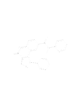 CN(C(=O)c1ccc2[nH]c(=O)c3cnc(-c4ccccc4)n3c2c1)c1ccccn1